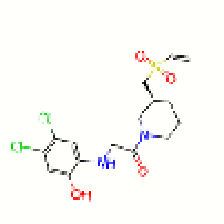 C=CS(=O)(=O)C[C@H]1CCCN(C(=O)CNc2cc(Cl)c(Cl)cc2O)C1